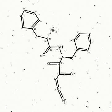 [N-]=[N+]=CC(=O)C(=O)[C@H](Cc1ccccc1)NC(=O)[C@@H](N)Cc1ccccc1